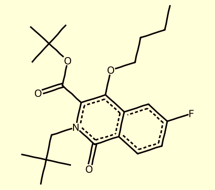 CCCCOc1c(C(=O)OC(C)(C)C)n(CC(C)(C)C)c(=O)c2ccc(F)cc12